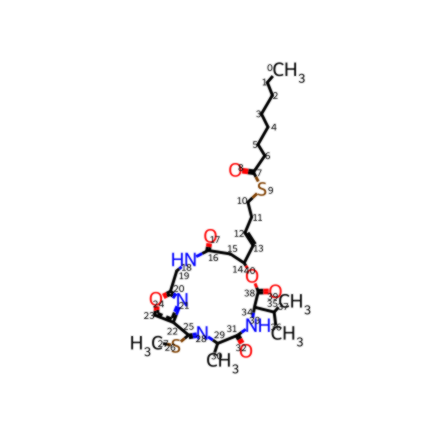 CCCCCCCC(=O)SCC/C=C/C1CC(=O)NCc2nc(co2)/C(SC)=N/C(C)C(=O)NC(C(C)C)C(=O)O1